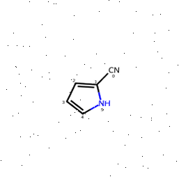 N#Cc1cc[c][nH]1